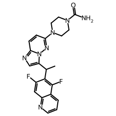 CC(c1c(F)cc2ncccc2c1F)c1cnc2ccc(N3CCN(C(N)=O)CC3)nn12